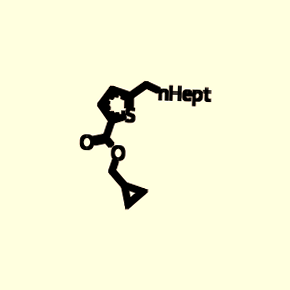 CCCCCCCCc1ccc(C(=O)OCC2CC2)s1